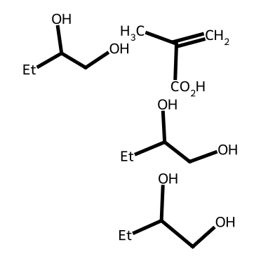 C=C(C)C(=O)O.CCC(O)CO.CCC(O)CO.CCC(O)CO